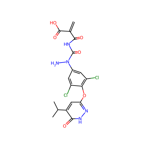 C=C(C(=O)O)C(=O)NC(=O)N(N)c1cc(Cl)c(Oc2cc(C(C)C)c(=O)[nH]n2)c(Cl)c1